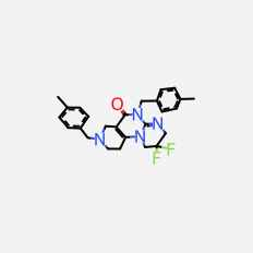 Cc1ccc(CN2CCC3=C(C2)C(=O)N(Cc2ccc(C)cc2)C2=NCC(F)(F)CN23)cc1